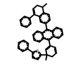 CC1CC=C(c2ccccc2)c2cc(-c3c4ccccc4c(C4=CC(C)(c5ccc(-c6ccccc6)s5)CC=C4)c4ccccc34)ccc21